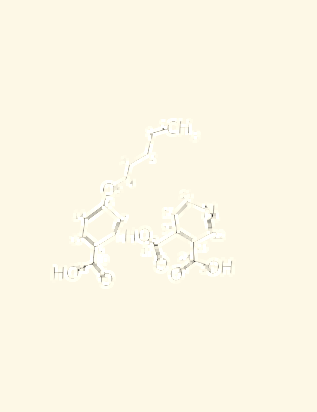 CCCCCOc1ccc(C(=O)O)cc1.O=C(O)c1ccncc1C(=O)O